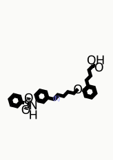 O=C(O)CCCc1ccccc1OCCC/C=C/c1cccc(NS(=O)(=O)c2ccccc2)c1